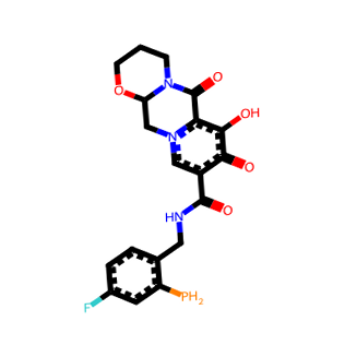 O=C(NCc1ccc(F)cc1P)c1cn2c(c(O)c1=O)C(=O)N1CCCOC1C2